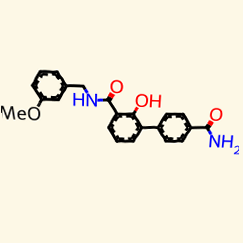 COc1cccc(CNC(=O)c2cccc(-c3ccc(C(N)=O)cc3)c2O)c1